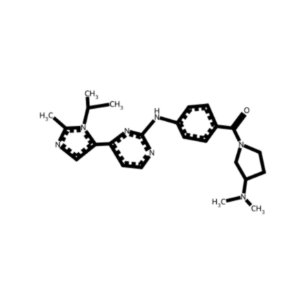 Cc1ncc(-c2ccnc(Nc3ccc(C(=O)N4CCC(N(C)C)C4)cc3)n2)n1C(C)C